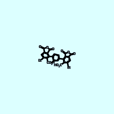 CCc1cc2c(c(-c3ccc(-c4c(C(=O)O)c(CC)cc5c4C(=O)OC5=O)c(C)c3)c1C(=O)O)C(=O)OC2=O